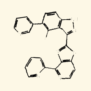 Fc1c(-c2cccnc2)ccc2[nH]nc(-c3nc4c(-c5ccccn5)nccc4[nH]3)c12